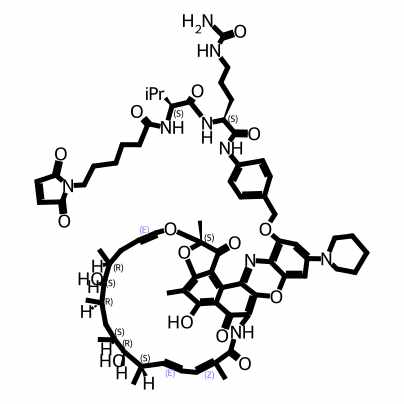 C/C1=C/C=C/[C@H](C)[C@H](O)[C@@H](C)C[C@@H](C)[C@H](O)[C@H](C)C/C=C/O[C@@]2(C)Oc3c(C)c(O)c4c(=O)c(c5oc6cc(N7CCCCC7)cc(OCc7ccc(NC(=O)[C@H](CCCNC(N)=O)NC(=O)[C@@H](NC(=O)CCCCCN8C(=O)C=CC8=O)C(C)C)cc7)c6nc-5c4c3C2=O)NC1=O